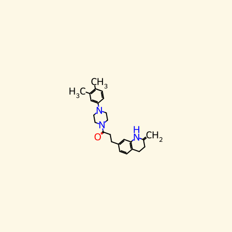 C=C1CCc2ccc(CCC(=O)N3CCN(c4ccc(C)c(C)c4)CC3)cc2N1